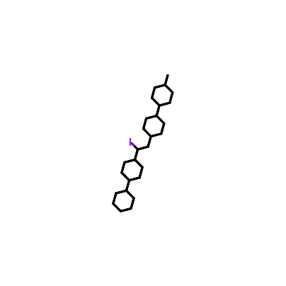 CC1CCC(C2CCC(CC(I)C3CCC(C4CCCCC4)CC3)CC2)CC1